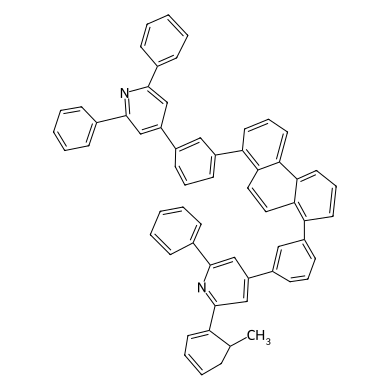 CC1CC=CC=C1c1cc(-c2cccc(-c3cccc4c3ccc3c(-c5cccc(-c6cc(-c7ccccc7)nc(-c7ccccc7)c6)c5)cccc34)c2)cc(-c2ccccc2)n1